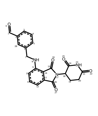 O=Cc1cccc(CNc2cccc3c2C(=O)N(C2CCC(=O)NC2=O)C3=O)c1